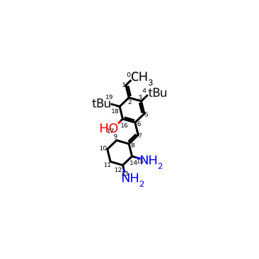 CC=C1C(C(C)(C)C)=CC(C=C2CCCC(N)C2N)=C(O)C1C(C)(C)C